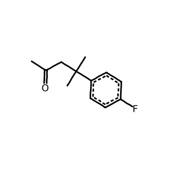 CC(=O)CC(C)(C)c1ccc(F)cc1